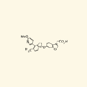 COc1ccc(-c2c(C(F)(F)F)ccc3c2CC[C@H]3Oc2ccc3c(c2)OC[C@H]3CC(=O)O)cn1